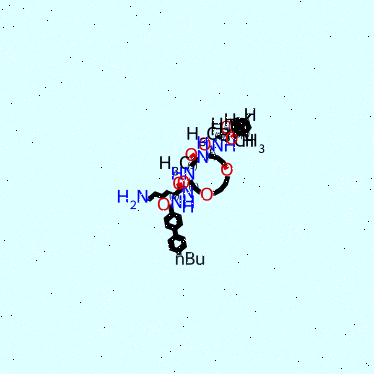 CCCCc1ccc(-c2ccc(C(=O)N[C@@H](CCCCN)C(=O)N[C@H]3COCCCCOCC[C@@H](C(=O)N[C@@H](C)B4O[C@@H]5C[C@@H]6C[C@@H](C6(C)C)[C@]5(C)O4)NC(=O)[C@H](C)NC3=O)cc2)cc1